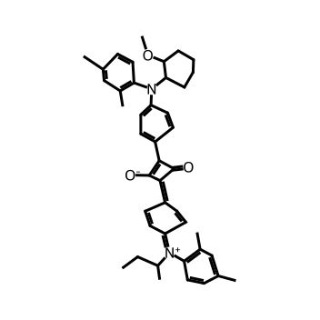 CCC(C)[N+](=C1C=CC(=C2C(=O)C(c3ccc(N(c4ccc(C)cc4C)C4CCCCC4OC)cc3)=C2[O-])C=C1)c1ccc(C)cc1C